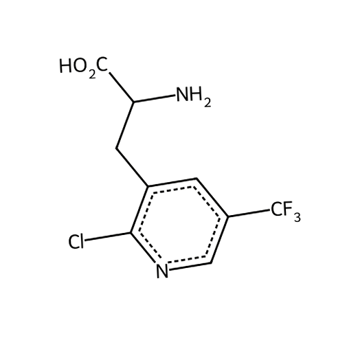 NC(Cc1cc(C(F)(F)F)cnc1Cl)C(=O)O